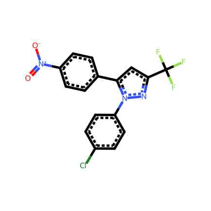 O=[N+]([O-])c1ccc(-c2cc(C(F)(F)F)nn2-c2ccc(Cl)cc2)cc1